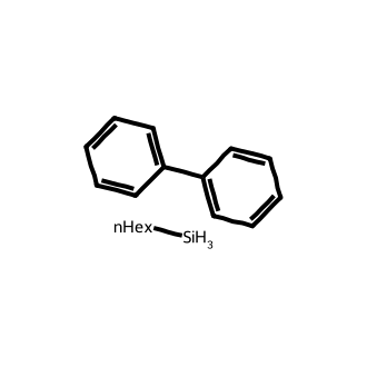 CCCCCC[SiH3].c1ccc(-c2ccccc2)cc1